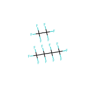 FC(F)(F)C(F)(F)C(F)(F)C(F)(F)F.FC(F)(F)C(F)(F)F